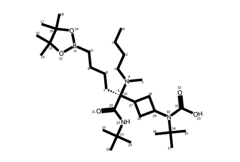 CCCCN(C)[C@](CCCCB1OC(C)(C)C(C)(C)O1)(C(=O)NC(C)(C)C)C1CC(N(C(=O)O)C(C)(C)C)C1